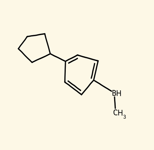 CBc1ccc(C2CCCC2)cc1